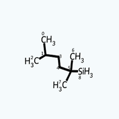 CC(C)CCC(C)(C)[SiH3]